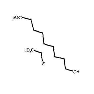 CCCCCCCCCCCCCCCCO.O=C(O)CBr